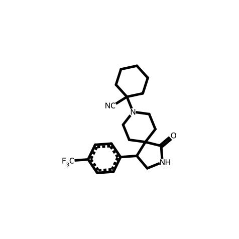 N#CC1(N2CCC3(CC2)C(=O)NCC3c2ccc(C(F)(F)F)cc2)CCCCC1